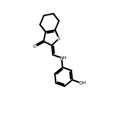 O=C1C2=C(CCCC2)S/C1=C\Nc1cccc(O)c1